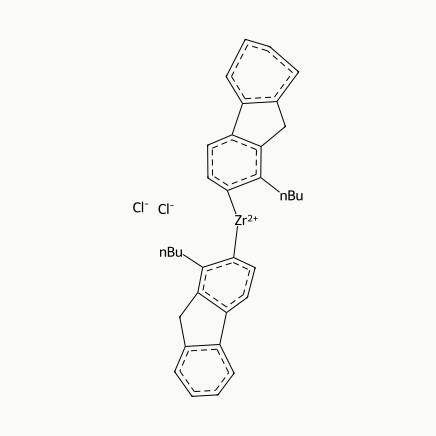 CCCCc1[c]([Zr+2][c]2ccc3c(c2CCCC)Cc2ccccc2-3)ccc2c1Cc1ccccc1-2.[Cl-].[Cl-]